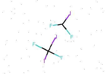 FC(F)(I)I.FC(F)I